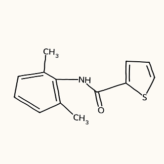 Cc1cccc(C)c1NC(=O)c1cccs1